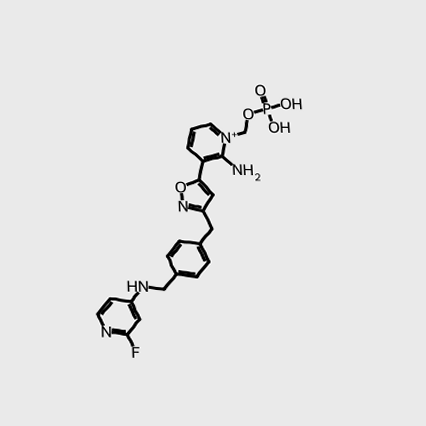 Nc1c(-c2cc(Cc3ccc(CNc4ccnc(F)c4)cc3)no2)ccc[n+]1COP(=O)(O)O